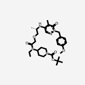 CCN(C(=O)COC[C@H](C)Nc1cnn(Cc2ccc(OC)cc2)c(=O)c1C)C1CCN(C(=O)OC(C)(C)C)CC1